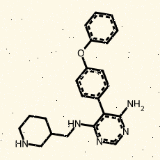 Nc1ncnc(NCC2CCCNC2)c1-c1ccc(Oc2ccccc2)cc1